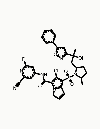 CC1CCC(CC(C)(O)c2cc(-c3ccccc3)on2)N1S(=O)(=O)c1c(Cl)c(C(=O)Nc2cc(F)nc(C#N)c2)n2c1C=CC2